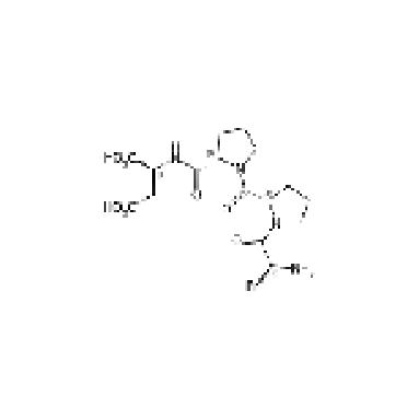 CC(C)[C@H](N)C(=O)N1CCC[C@H]1C(=O)N1CCC[C@H]1C(=O)N[C@@H](CC(=O)O)C(=O)O